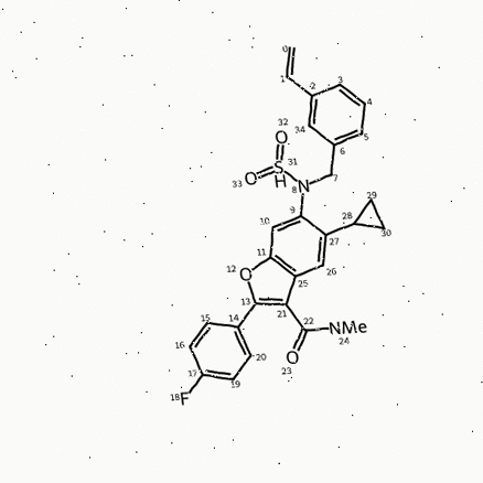 C=Cc1cccc(CN(c2cc3oc(-c4ccc(F)cc4)c(C(=O)NC)c3cc2C2CC2)[SH](=O)=O)c1